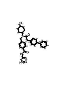 CC(C)(C)C1CCC(N(Cc2ccc(C(=O)Nc3nn[nH]n3)cc2)C(=O)Cc2ccc(-c3ccccc3)cc2)CC1